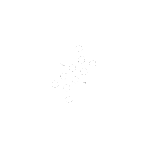 N#Cc1ccc(-c2ccccc2-c2ccc(-c3ccccc3)nc2-c2ccccc2)c(-c2cc(C#N)ccc2-c2ccccc2-c2ccc(-c3ccccc3)nc2-c2ccccc2)c1